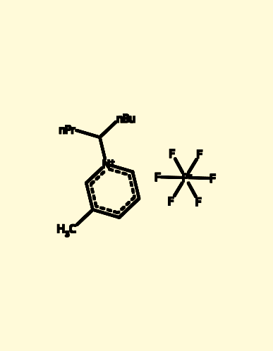 CCCCC(CCC)[n+]1cccc(C)c1.F[P-](F)(F)(F)(F)F